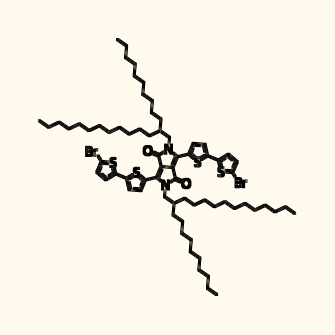 CCCCCCCCCCCCC(CCCCCCCCCC)CN1C(=O)C2=C(c3ccc(-c4ccc(Br)s4)s3)N(CC(CCCCCCCCCC)CCCCCCCCCCCC)C(=O)C2=C1c1ccc(-c2ccc(Br)s2)s1